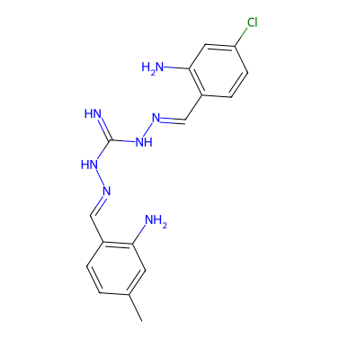 Cc1ccc(/C=N/NC(=N)N/N=C/c2ccc(Cl)cc2N)c(N)c1